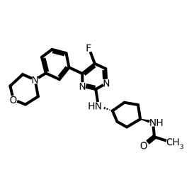 CC(=O)N[C@H]1CC[C@H](Nc2ncc(F)c(-c3cccc(N4CCOCC4)c3)n2)CC1